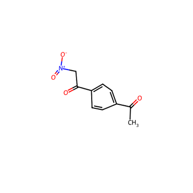 CC(=O)c1ccc(C(=O)C[N+](=O)[O-])cc1